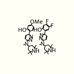 CN(c1ccc(-c2cc(F)c(F)cc2O)nn1)C1CC(C)(C)NC(C)(C)C1.COc1ccc(-c2ccc(N(C)C3CC(C)(C)NC(C)(C)C3)nn2)c(O)c1